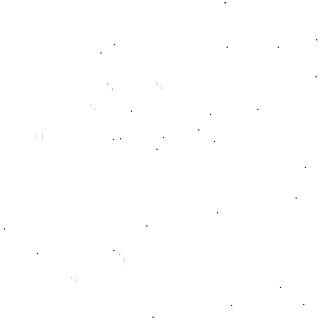 CCOC(=O)c1cc(-c2ccc(CN3CCN(C)CC34COC4)cc2)c2c(OC(C)C)nn(C3CCCCC3)c2n1